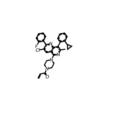 C=CC(=O)N1CCN(c2nc(C)c(-c3ccccc3C3CC3)c3nc(-c4ccccc4F)c(Cl)cc23)CC1